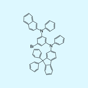 Brc1cc(N(c2ccccc2)c2ccc3c(c2)C(c2ccccc2)(c2ccccc2)c2ccccc2-3)cc(N(c2ccccc2)c2ccc3ccccc3c2)c1